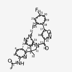 CC(=O)Nc1cccc(C(C)(CNC(=O)c2cc(-c3ccc(F)cc3F)on2)c2cnn(C)c2)n1